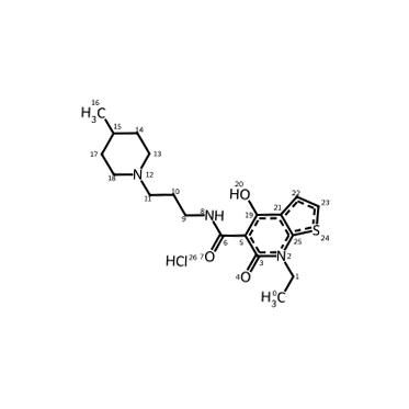 CCn1c(=O)c(C(=O)NCCCN2CCC(C)CC2)c(O)c2ccsc21.Cl